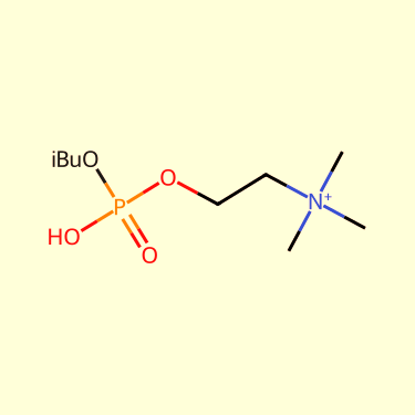 CC(C)COP(=O)(O)OCC[N+](C)(C)C